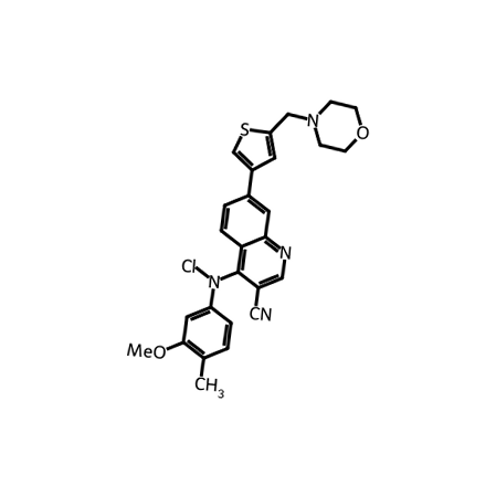 COc1cc(N(Cl)c2c(C#N)cnc3cc(-c4csc(CN5CCOCC5)c4)ccc23)ccc1C